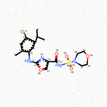 Cc1cc(Cl)c(C(C)C)cc1Nc1nc(C(=O)NS(=O)(=O)N2CCOCC2)co1